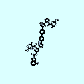 COC(=O)NC(C(=O)N1CCC[C@H]1c1nc(-c2ccc(-c3ccc(-c4cnc([C@@H]5C[C@@H](OC(=O)N6Cc7cccc(F)c7C6)CN5C(=O)[C@@H](NC(=O)OC)C(C)C)[nH]4)cc3)cc2)c[nH]1)C(C)C